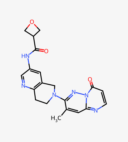 Cc1cc2nccc(=O)n2nc1N1CCc2ncc(NC(=O)C3COC3)cc2C1